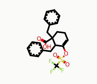 O=C(O)C1(Cc2ccccc2)CCC=C(OS(=O)(=O)C(F)(F)F)C1Cc1ccccc1